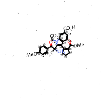 CCOC(=O)Cn1c(C(C)(N)C(=O)c2ccc(OC)cc2)c(C2=C(C(=O)OC)CCC2)c2ccc(C(=O)O)cc21